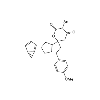 COc1ccc(CCC2(C3CCCC3)CC(=O)C(C(C)=O)C(=O)O2)cc1.c1cc2cc-2c1